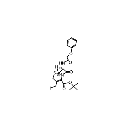 CC(C)(C)OC(=O)C1=C(CI)CS[C@@H]2[C@H](NC(=O)COc3ccccc3)C(=O)N12